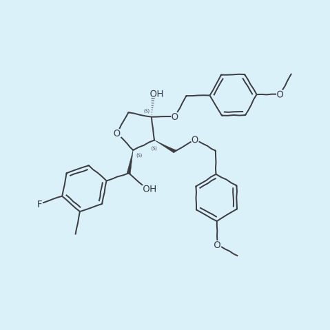 COc1ccc(COC[C@H]2[C@@H](C(O)c3ccc(F)c(C)c3)OC[C@@]2(O)OCc2ccc(OC)cc2)cc1